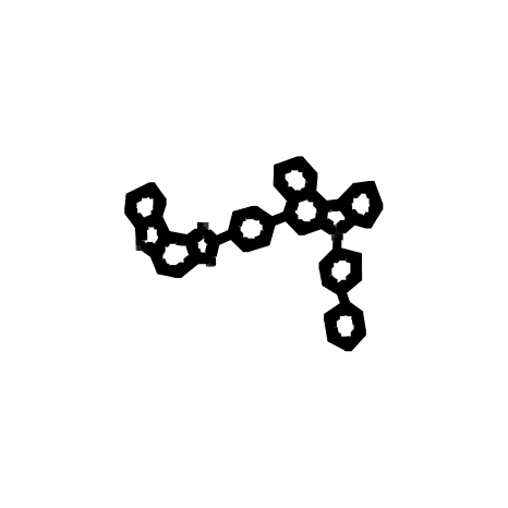 c1ccc(-c2ccc(-n3c4ccccc4c4c5ccccc5c(-c5ccc(-c6nc7c(ccc8sc9ccccc9c87)s6)cc5)cc43)cc2)cc1